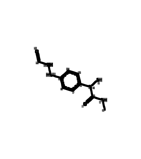 CNC(=O)N(S)c1ccc(NNC=O)cc1